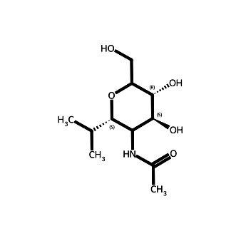 CC(=O)NC1[C@H](C(C)C)OC(CO)[C@H](O)[C@H]1O